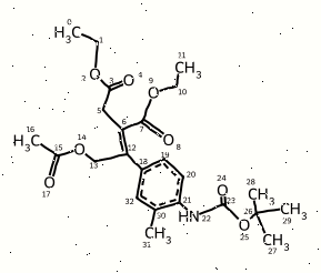 CCOC(=O)CC(C(=O)OCC)=C(COC(C)=O)c1ccc(NC(=O)OC(C)(C)C)c(C)c1